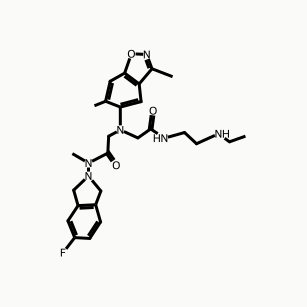 CCNCCNC(=O)CN(CC(=O)N(C)N1Cc2ccc(F)cc2C1)c1cc2c(C)noc2cc1C